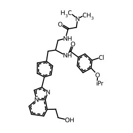 CC(C)Oc1ccc(C(=O)NC(CNC(=O)CN(C)C)Cc2ccc(-c3cn4cccc(CCO)c4n3)cc2)cc1Cl